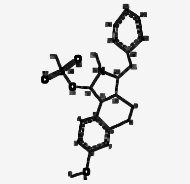 COc1ccc2c(c1)CCC1C2C(OS(C)(=O)=O)N(C)C1Cc1ccccc1